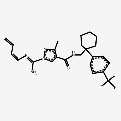 C=C/C=C\N=C(/N)n1cc(C(=O)NCC2(c3ccc(C(F)(F)F)cc3)CCCCC2)c(C)n1